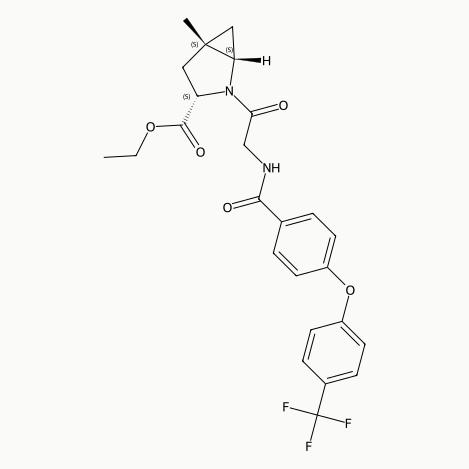 CCOC(=O)[C@@H]1C[C@]2(C)C[C@@H]2N1C(=O)CNC(=O)c1ccc(Oc2ccc(C(F)(F)F)cc2)cc1